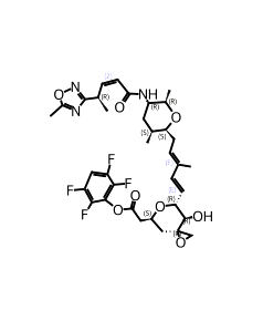 CC(/C=C/[C@H]1O[C@H](CC(=O)Oc2c(F)c(F)cc(F)c2F)C[C@@]2(CO2)[C@@H]1O)=C\C[C@@H]1O[C@H](C)[C@H](NC(=O)/C=C\[C@@H](C)c2noc(C)n2)C[C@@H]1C